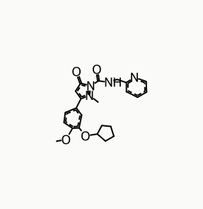 COc1ccc(-c2cc(=O)n(C(=O)NCc3ccccn3)n2C)cc1OC1CCCC1